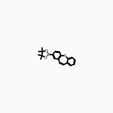 CC1(C)OB(c2ccc3c(c2)C=Cc2ccccc2S3)OC1(C)C